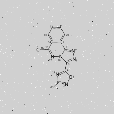 Cc1noc(-c2nnc3c4ccccc4c(Cl)nn23)n1